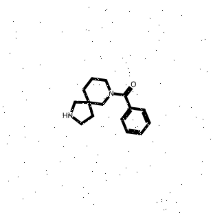 O=C(c1ccccc1)N1CCCC2(CCNC2)C1